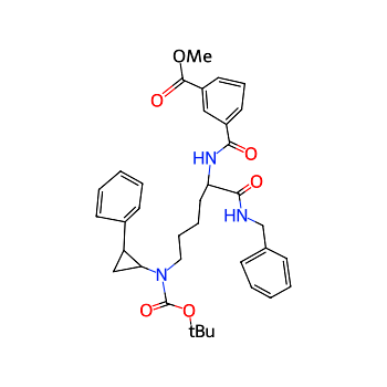 COC(=O)c1cccc(C(=O)NC(CCCCN(C(=O)OC(C)(C)C)C2CC2c2ccccc2)C(=O)NCc2ccccc2)c1